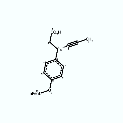 CC#C[C@@H](CC(=O)O)c1ccc(OCCCCC)cc1